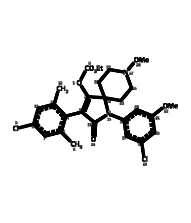 CCOC(=O)OC1=C(c2c(C)cc(Cl)cc2C)C(=O)N(c2cc(Cl)cc(OC)c2)C12CCN(OC)CC2